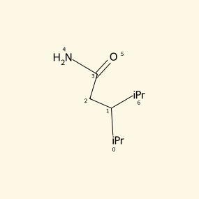 CC(C)C(CC(N)=O)C(C)C